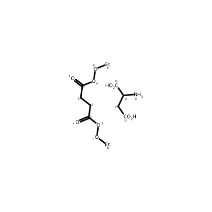 CCOOC(=O)CCC(=O)OOCC.NC(CC(=O)O)C(=O)O